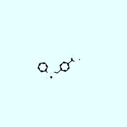 COC(=O)c1ccc(CSS(=O)(=O)c2ccccc2)cc1